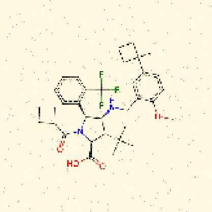 COc1ccc(C2(C)CCC2)cc1CN[C@H]1[C@H](C(C)(C)C)[C@@H](C(=O)O)N(C(=O)C2CCC2)[C@H]1c1ccccc1C(F)(F)F